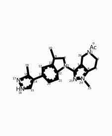 CC(=O)N1CCc2c(c(N3CC(C)c4cc(-c5c[nH]nc5C)ccc43)nn2C)C1